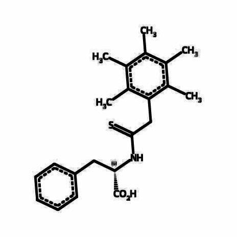 Cc1c(C)c(C)c(CC(=S)N[C@@H](Cc2ccccc2)C(=O)O)c(C)c1C